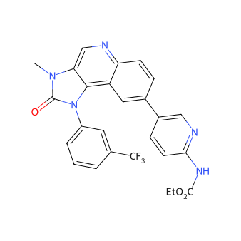 CCOC(=O)Nc1ccc(-c2ccc3ncc4c(c3c2)n(-c2cccc(C(F)(F)F)c2)c(=O)n4C)cn1